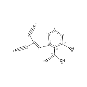 N#CC(C#N)=Cc1cccc(O)c1C(=O)O